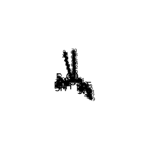 CCCCCCCCCCCCOc1c(-c2ccc(C3=CC(F)=C/C(=N/S)C3=N)s2)sc(-c2ccc(-c3cc(F)c(-c4ccc(C(C)(C)CC)s4)c4nsnc34)s2)c1OCCCCCCCCCCCC